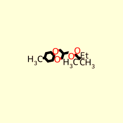 CCC(C)(C)C(=O)OCC1COC2(CCC(C)CC2)OC1